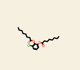 CCCCCCCC(=O)Oc1cccc(Cl)c1OC(=O)CCCCCCC